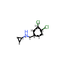 Clc1ccc(CNC2CC2)cc1Cl